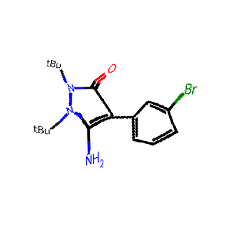 CC(C)(C)n1c(N)c(-c2cccc(Br)c2)c(=O)n1C(C)(C)C